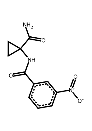 NC(=O)C1(NC(=O)c2cccc([N+](=O)[O-])c2)CC1